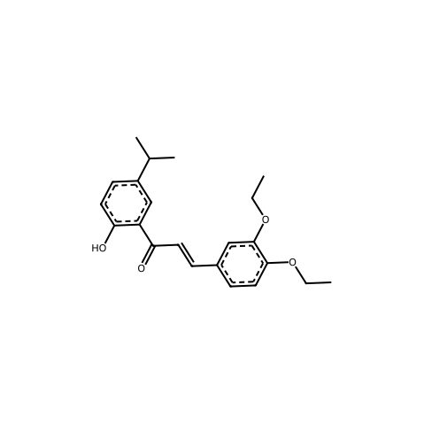 CCOc1ccc(/C=C/C(=O)c2cc(C(C)C)ccc2O)cc1OCC